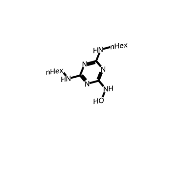 CCCCCCNc1nc(NO)nc(NCCCCCC)n1